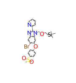 C[Si](C)(C)CCOCn1c(-c2ccccn2)nc2cc(Br)c(Oc3ccc(S(C)(=O)=O)cc3)cc21